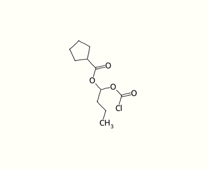 CCCC(OC(=O)Cl)OC(=O)C1CCCC1